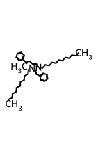 CCCCCCCCCCCCn1cc(CC(C)c2ccccc2)[n+](CCCCCCCCCCCC)c1Cc1ccccc1